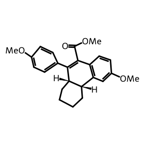 COC(=O)C1=C(c2ccc(OC)cc2)[C@H]2CCCC[C@H]2c2cc(OC)ccc21